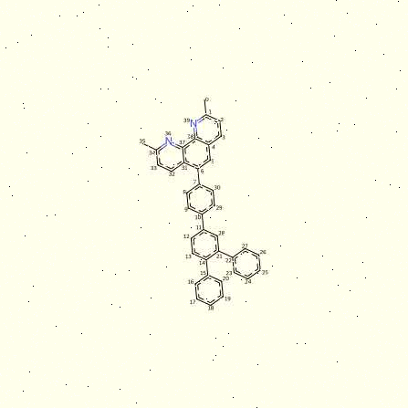 Cc1ccc2cc(-c3ccc(-c4ccc(-c5ccccc5)c(-c5ccccc5)c4)cc3)c3ccc(C)nc3c2n1